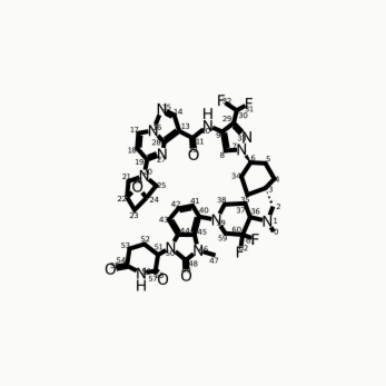 CN(C[C@H]1CC[C@H](n2cc(NC(=O)c3cnn4ccc(N5CC6CC(C5)O6)nc34)c(C(F)F)n2)CC1)C1CCN(c2cccc3c2n(C)c(=O)n3C2CCC(=O)NC2=O)CC1(F)F